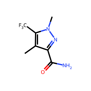 Cc1c(C(N)=O)nn(C)c1C(F)(F)F